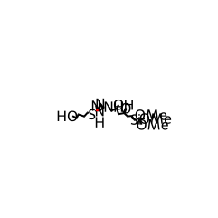 CO[Si](CCCC(=O)CC(O)CNc1nnc(SCCCCO)[nH]1)(OC)OC